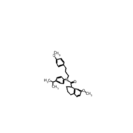 COc1ccc(CCCN(C(=O)C2CCCc3ccc(OC)cc32)c2ccc(C(C)C)cc2)cc1